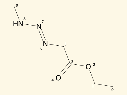 CCOC(=O)CN=NNC